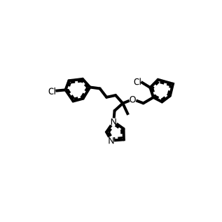 CC(CCCc1ccc(Cl)cc1)(Cn1ccnc1)OCc1ccccc1Cl